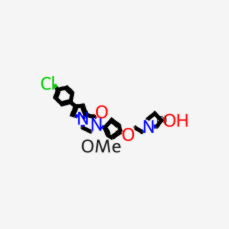 COc1cc(N2CCn3cc(-c4ccc(Cl)cc4)cc3C2=O)ccc1OCCN1CC[C@@H](O)C1